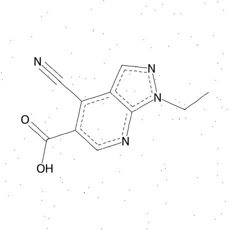 CCn1ncc2c(C#N)c(C(=O)O)cnc21